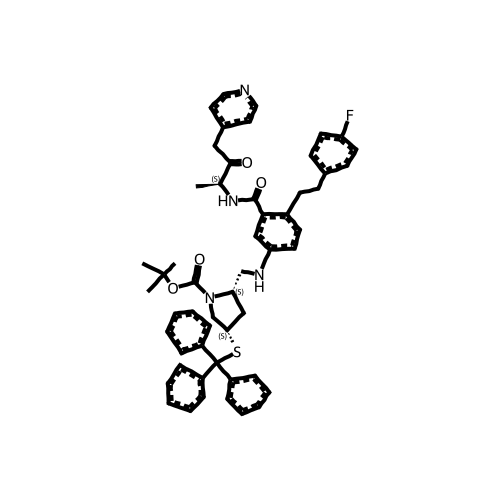 C[C@H](NC(=O)c1cc(NC[C@@H]2C[C@H](SC(c3ccccc3)(c3ccccc3)c3ccccc3)CN2C(=O)OC(C)(C)C)ccc1CCc1ccc(F)cc1)C(=O)Cc1ccncc1